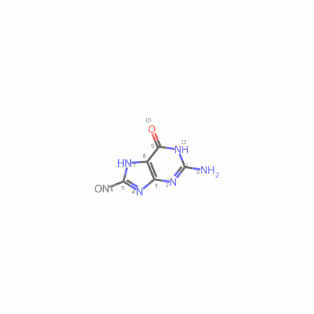 Nc1nc2nc(N=O)[nH]c2c(=O)[nH]1